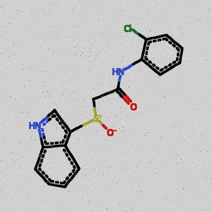 O=C(C[S+]([O-])c1c[nH]c2ccccc12)Nc1ccccc1Cl